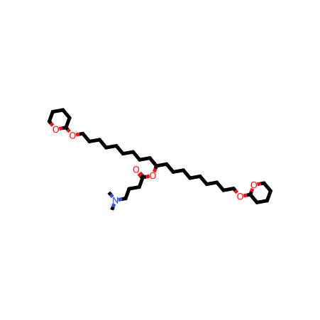 CN(C)CCCC(=O)OC(CCCCCCCCCOC1CCCCO1)CCCCCCCCCOC1CCCCO1